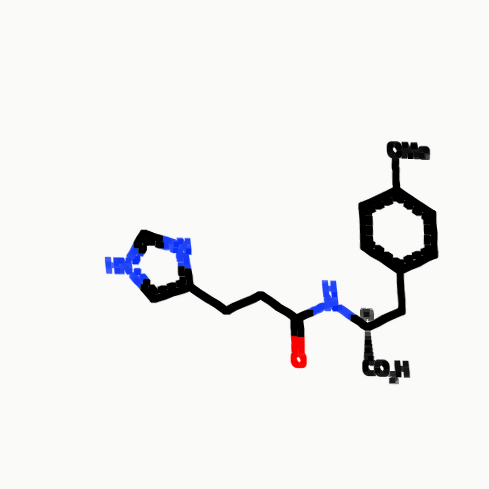 COc1ccc(C[C@@H](NC(=O)CCc2c[nH]cn2)C(=O)O)cc1